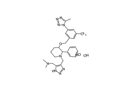 Cc1nnnn1-c1cc(COC2CCCN(Cc3nn[nH]c3CN(C)C)C2c2ccccc2)cc(C(F)(F)F)c1.Cl.Cl